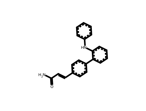 NC(=O)C=Cc1ccc(-c2ccccc2Nc2ccccc2)cc1